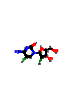 Nc1nc(=O)n([C@@H]2O[C@H](CO)[C@H](O)C2F)cc1F